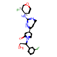 O=c1cc(-c2ccnc(N[C@@H]3CCOC[C@H]3F)n2)ccn1C(CO)c1cccc(F)c1